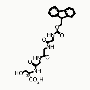 O=C(CNC(=O)CNC(=O)OCC1c2ccccc2-c2ccccc21)NCC(=O)N[C@@H](CO)C(=O)O